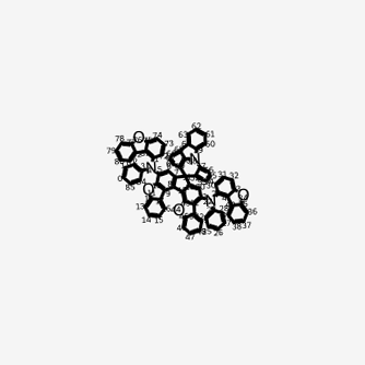 c1ccc(N(c2cc3c(c4c2oc2ccccc24)-c2c(cc(N(c4ccccc4)c4cccc5oc6ccccc6c45)c4c2oc2ccccc24)C32c3ccccc3-n3c4ccccc4c4cccc2c43)c2cccc3oc4ccccc4c23)cc1